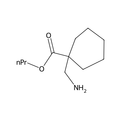 CCCOC(=O)C1(CN)CCCCC1